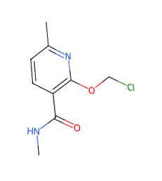 CNC(=O)c1ccc(C)nc1OCCl